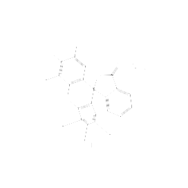 O=C1OC2(c3ccccc31)c1cc(I)c(O)c(I)c1Oc1c2cc(I)c(O)c1I.[AlH3]